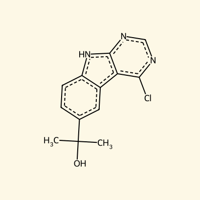 CC(C)(O)c1ccc2[nH]c3ncnc(Cl)c3c2c1